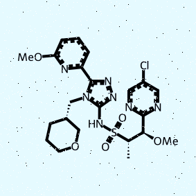 COc1cccc(-c2nnc(NS(=O)(=O)[C@@H](C)[C@H](OC)c3ncc(Cl)cn3)n2C[C@H]2CCCOC2)n1